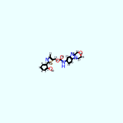 COc1ccccc1-c1nc(C)c(COC(=O)Nc2ccc3c(c2)nc2n3CCOC2)s1